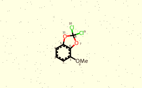 COc1cccc2c1OC(Cl)(Cl)O2